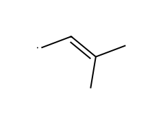 [CH2]C=C(C)C